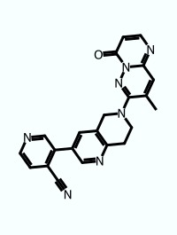 Cc1cc2nccc(=O)n2nc1N1CCc2ncc(-c3cnccc3C#N)cc2C1